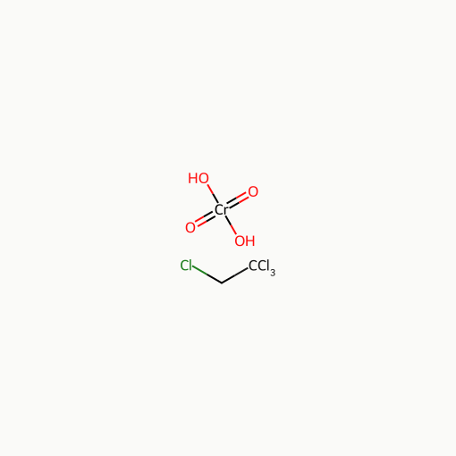 ClCC(Cl)(Cl)Cl.[O]=[Cr](=[O])([OH])[OH]